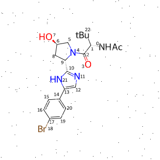 CC(=O)N[C@H](C(=O)N1C[C@H](O)C[C@H]1c1ncc(-c2ccc(Br)cc2)[nH]1)C(C)(C)C